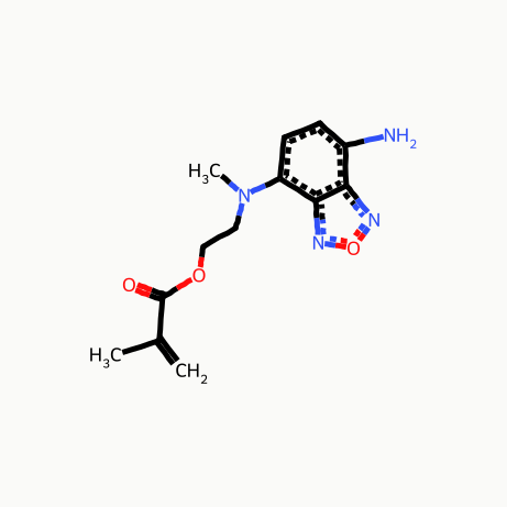 C=C(C)C(=O)OCCN(C)c1ccc(N)c2nonc12